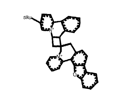 CC(C)(C)c1ccc2[n+](c1)C1CC3(Cc4ccc5c(oc6ccccc65)c4-c4cccc[n+]43)C1c1ccccc1-2